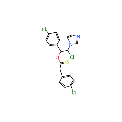 S=C(Cc1ccc(Cl)cc1)OC(c1ccc(Cl)cc1)C(Cl)n1ccnc1